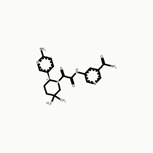 CC1(C)CC[C@@H](c2ccc(N)nc2)N(C(=O)C(=O)Nc2cncc(C(N)=O)c2)C1